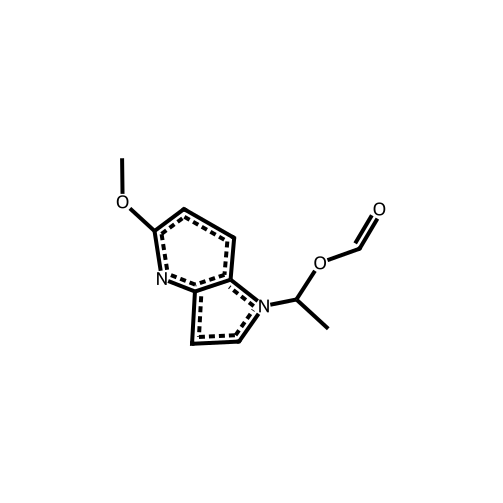 COc1ccc2c(ccn2C(C)OC=O)n1